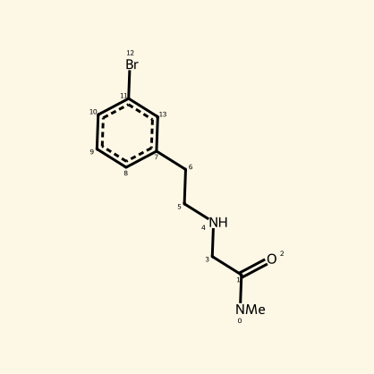 CNC(=O)CNCCc1cccc(Br)c1